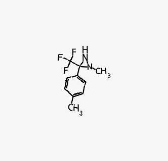 Cc1ccc(C2(C(F)(F)F)NN2C)cc1